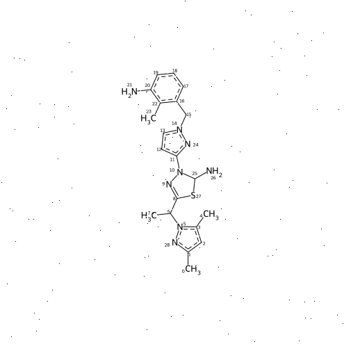 Cc1cc(C)n(C(C)C2=NN(c3ccn(Cc4cccc(N)c4C)n3)C(N)S2)n1